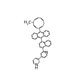 CC1/C=C\C=C/C/C=C(c2c3ccccc3c(-c3ccc(-c4cc(C5=CC=CNC5)ccn4)c4ccccc34)c3ccccc23)\C=C/1